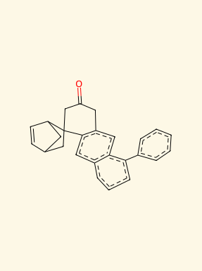 O=C1Cc2cc3c(-c4ccccc4)cccc3cc2C2(C1)CC1C=CC2C1